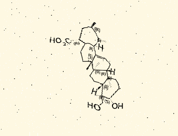 C[C@H]1[C@H](C)C[C@@H](C(=O)O)C2CC[C@]3(C)C(=CC[C@@H]4[C@@]5(C)CC[C@H](O)[C@@](C)(CO)[C@@H]5CC[C@]43C)[C@@H]21